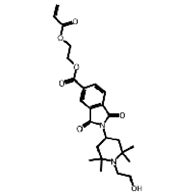 C=CC(=O)OCCOC(=O)c1ccc2c(c1)C(=O)N(C1CC(C)(C)N(CCO)C(C)(C)C1)C2=O